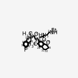 CCNCCNC(=O)CN(CC(=O)N(C)N1Cc2ccc(F)cc2C1)c1cc2c(cc1C)CCCC2=O